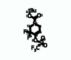 CC(C)(C)OC(=O)N1CC=C(OS(=O)(=O)C(F)(F)F)C(F)(F)C1